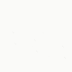 Cc1nc2cc(N3CCO[C@@H](c4cncnc4)C3)nc(-c3ccc(Cl)cc3F)c2c(=O)n1C